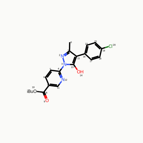 Cc1nn(-c2ccc(C(=O)OCC(C)C)cn2)c(O)c1-c1ccc(Cl)cc1